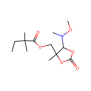 CCC(C)(C)C(=O)OCC1(C)OC(=O)OC1N(C)OC